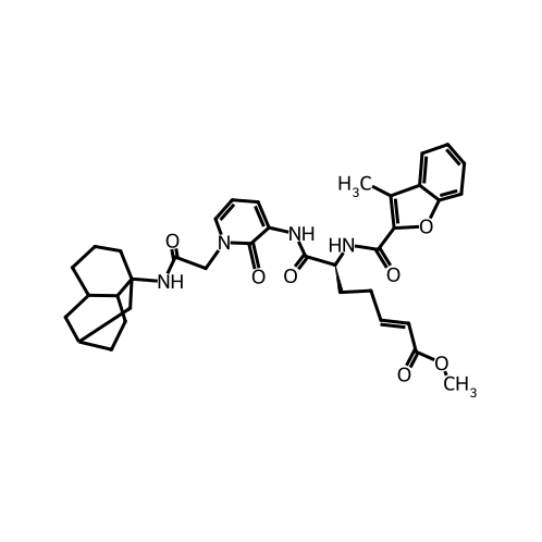 COC(=O)/C=C/CC[C@H](NC(=O)c1oc2ccccc2c1C)C(=O)Nc1cccn(CC(=O)NC23CCCC4CC(CCC42)C3)c1=O